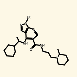 CCn1ncc2c(NC(C)C3CCCCC3)c(C(=O)NCCCN3CCCCC3C)cnc21